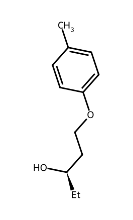 [CH2]C[C@@H](O)CCOc1ccc(C)cc1